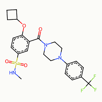 CNS(=O)(=O)c1ccc(OC2CCC2)c(C(=O)N2CCN(c3ccc(C(F)(F)F)cc3)CC2)c1